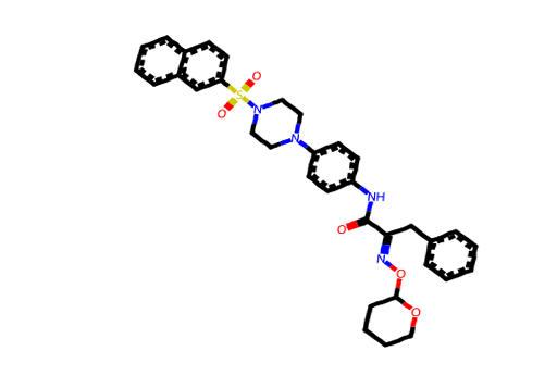 O=C(Nc1ccc(N2CCN(S(=O)(=O)c3ccc4ccccc4c3)CC2)cc1)/C(Cc1ccccc1)=N/OC1CCCCO1